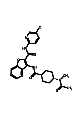 CC(=O)N(C)[C@H]1CC[C@H](C(=O)Nc2c(C(=O)Nc3ccc(Cl)cn3)oc3cccnc23)CC1